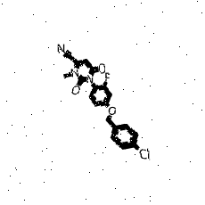 Cn1c(C#N)cc(=O)n(-c2ccc(OCc3ccc(Cl)cc3)cc2F)c1=O